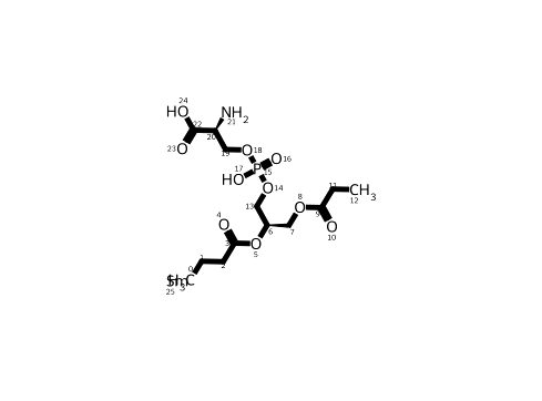 CCCC(=O)O[C@H](COC(=O)CC)COP(=O)(O)OC[C@H](N)C(=O)O.[Sm]